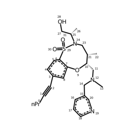 CCCC#Cc1ccc2c(c1)O[C@@H](CN(C)Cc1cccnc1)[C@@H](C)CN([C@@H](C)CO)S2(=O)=O